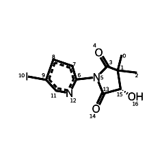 CC1(C)C(=O)N(c2ccc(I)cn2)C(=O)[C@H]1O